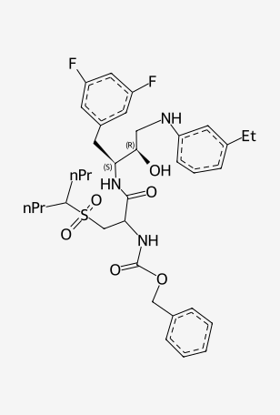 CCCC(CCC)S(=O)(=O)CC(NC(=O)OCc1ccccc1)C(=O)N[C@@H](Cc1cc(F)cc(F)c1)[C@H](O)CNc1cccc(CC)c1